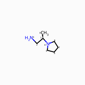 C[C@H](CN)N1CCCC1